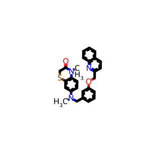 CN(Cc1cccc(OCc2ccc3ccccc3n2)c1)c1ccc2c(c1)SCC(=O)N2C